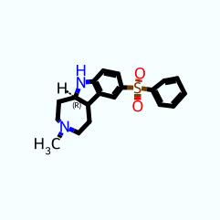 CN1CCC2c3cc(S(=O)(=O)c4ccccc4)ccc3N[C@@H]2CC1